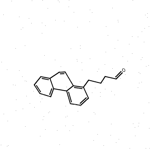 O=CCCCc1cccc2c1ccc1ccccc12